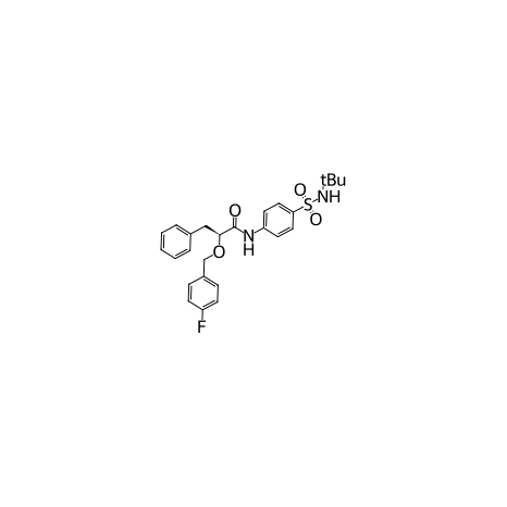 CC(C)(C)NS(=O)(=O)c1ccc(NC(=O)[C@H](Cc2ccccc2)OCc2ccc(F)cc2)cc1